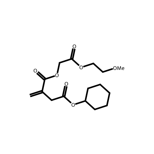 C=C(CC(=O)OC1CCCCC1)C(=O)OCC(=O)OCCOC